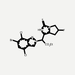 CCOC(=O)C(c1[nH]c(=S)n2c1CC(F)C2)n1cc2c(Cl)cc(Br)c(Cl)c2n1